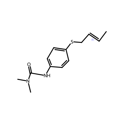 C/C=C/CSc1ccc(NC(=O)N(C)C)cc1